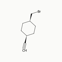 C#C[C@H]1CC[C@@H](CBr)CC1